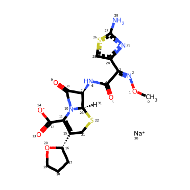 CO/N=C(\C(=O)N[C@@H]1C(=O)N2C(C(=O)[O-])=C([C@@H]3CCCO3)CS[C@H]12)c1csc(N)n1.[Na+]